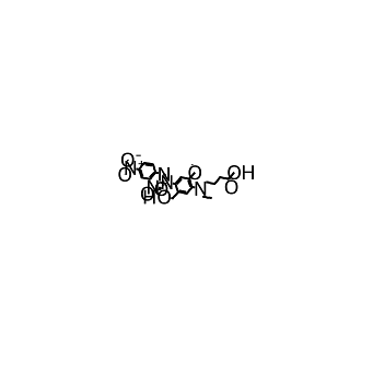 CCN(CCCC(=O)O)c1cc(CO)c(N=Nc2ccc([N+](=O)[O-])cc2[N+](=O)[O-])cc1OC